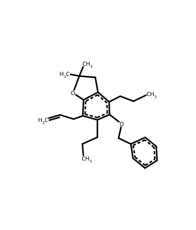 C=CCc1c(CCC)c(OCc2ccccc2)c(CCC)c2c1OC(C)(C)C2